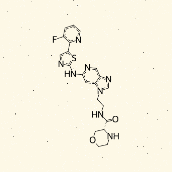 O=C(NCCn1cnc2cnc(Nc3ncc(-c4ncccc4F)s3)cc21)[C@H]1COCCN1